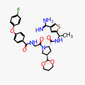 C[C@@H](NC(=O)[C@@H]1C[C@@H](C2OCCCO2)CN1C(=O)CNC(=O)c1ccc(Oc2ccc(F)cc2)cc1)c1cc(C(=N)N)cs1